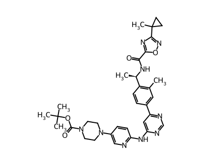 Cc1cc(-c2cc(Nc3ccc(N4CCN(C(=O)OC(C)(C)C)CC4)cn3)ncn2)ccc1[C@@H](C)NC(=O)c1nc(C2(C)CC2)no1